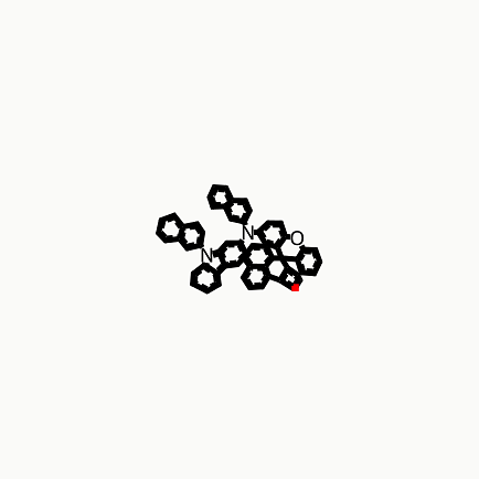 c1ccc2c(c1)Oc1ccc(N(c3ccc4ccccc4c3)c3ccc4c5ccccc5n(-c5ccc6ccccc6c5)c4c3)cc1C21c2ccccc2-c2cccc3cccc1c23